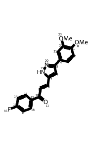 COc1ccc(-c2cc(C=CC(=O)c3ccc(F)cc3)[nH]n2)cc1OC